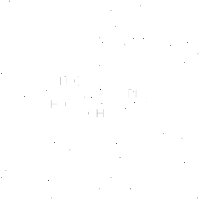 CC(C)(C)SCP